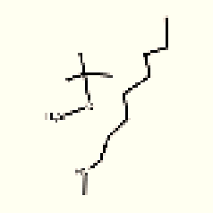 CC(C)(C)O[SiH3].CCCCCCCCNC